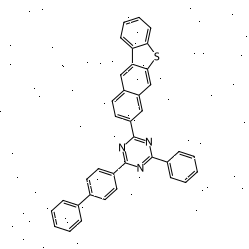 c1ccc(-c2ccc(-c3nc(-c4ccccc4)nc(-c4ccc5cc6c(cc5c4)sc4ccccc46)n3)cc2)cc1